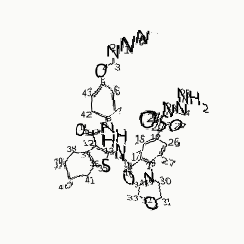 [N-]=[N+]=NCOc1ccc(NC(=O)c2c(NC(=O)c3cc(S(=O)(=O)N=NN)ccc3N3CCOCC3)sc3c2CCCC3)cc1